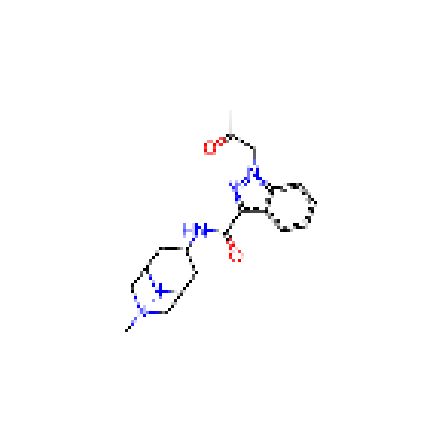 CC(=O)Cn1nc(C(=O)NC2CC3CN(C)CC(C2)N3C)c2ccccc21